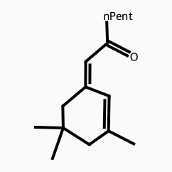 CCCCCC(=O)/C=C1\C=C(C)CC(C)(C)C1